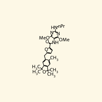 CCCNc1nc(OC)c(NC(=O)c2ccc(Cc3cc4c(cc3C)C(C)(C)OC4(C)C)o2)c(OC)n1